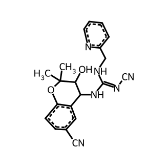 CC1(C)Oc2ccc(C#N)cc2C(NC(=NC#N)NCc2ccccn2)C1O